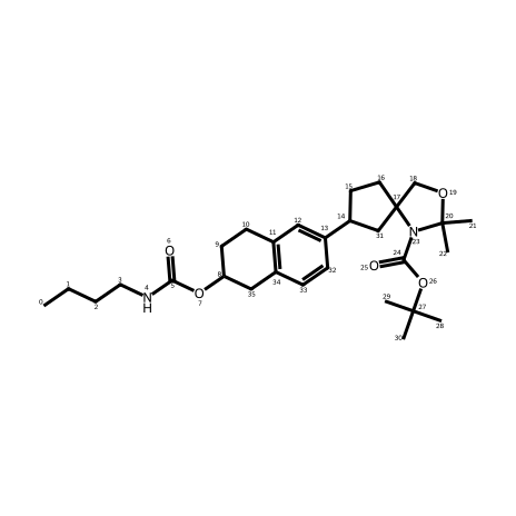 CCCCNC(=O)OC1CCc2cc(C3CCC4(COC(C)(C)N4C(=O)OC(C)(C)C)C3)ccc2C1